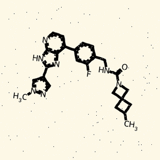 CC1CC2(C1)CN(C(=O)NCc1ccc(-c3ccnc4[nH]c(-c5cnn(C)c5)nc34)cc1F)C2